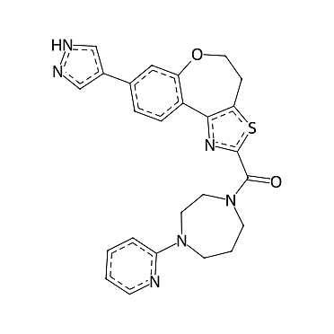 O=C(c1nc2c(s1)CCOc1cc(-c3cn[nH]c3)ccc1-2)N1CCCN(c2ccccn2)CC1